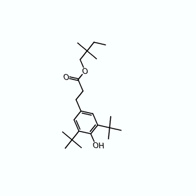 CCC(C)(C)COC(=O)CCc1cc(C(C)(C)C)c(O)c(C(C)(C)C)c1